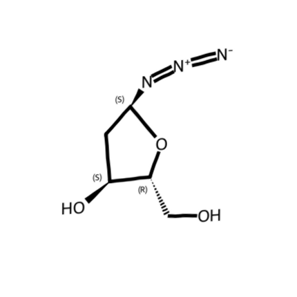 [N-]=[N+]=N[C@@H]1C[C@H](O)[C@@H](CO)O1